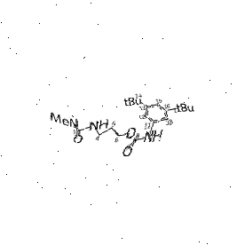 CNC(=O)NCCCOC(=O)Nc1cc(C(C)(C)C)cc(C(C)(C)C)c1